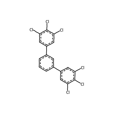 Clc1cc(-c2cccc(-c3cc(Cl)c(Cl)c(Cl)c3)c2)cc(Cl)c1Cl